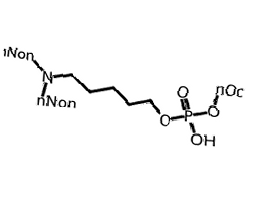 CCCCCCCCCN(CCCCCCCCC)CCCCCOP(=O)(O)OCCCCCCCC